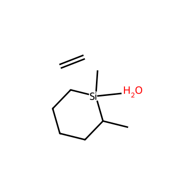 C=C.CC1CCCC[Si]1(C)C.O